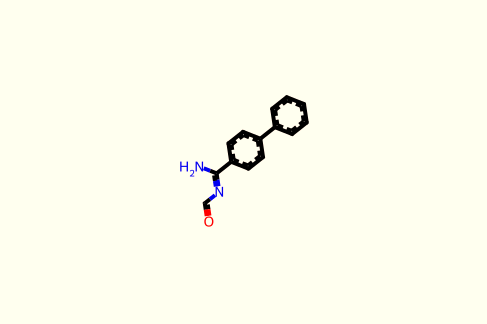 NC(=NC=O)c1ccc(-c2ccccc2)cc1